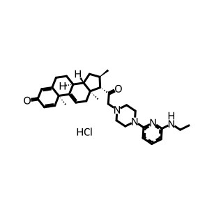 CCNc1cccc(N2CCN(CC(=O)[C@H]3[C@H](C)C[C@H]4[C@@H]5CCC6=CC(=O)C=C[C@]6(C)C5=CC[C@@]43C)CC2)n1.Cl